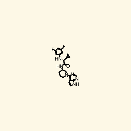 O=C(NC1CCCN(c2ncnc3[nH]ccc23)C1)[C@H](Nc1cc(F)cc(F)c1)C1CC1